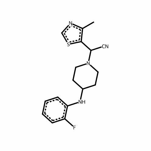 Cc1ncsc1C(C#N)N1CCC(Nc2ccccc2F)CC1